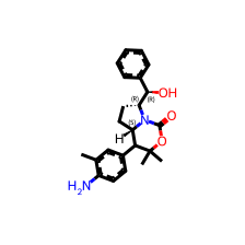 Cc1cc(C2[C@@H]3CC[C@H]([C@H](O)c4ccccc4)N3C(=O)OC2(C)C)ccc1N